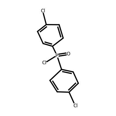 O=P(Cl)(c1ccc(Cl)cc1)c1ccc(Cl)cc1